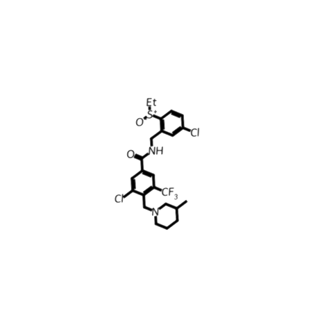 CC[S+]([O-])c1ccc(Cl)cc1CNC(=O)c1cc(Cl)c(CN2CCCC(C)C2)c(C(F)(F)F)c1